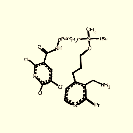 CC(C)c1nccc(CCCO[Si](C)(C)C(C)(C)C)c1CN.CCCCCNC(=O)c1cc(Cl)c(Cl)nc1Cl